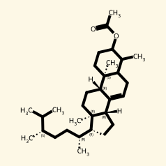 CC(=O)OC1CC[C@@]2(C)C(CC=C3[C@@H]4CC[C@H]([C@H](C)CC[C@H](C)C(C)C)[C@@]4(C)CC[C@@H]32)C1C